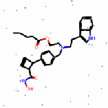 CCCCC(=O)OCCN(CCc1c[nH]c2ccccc12)Cc1ccc(C2C#CC2C(=O)NO)cc1